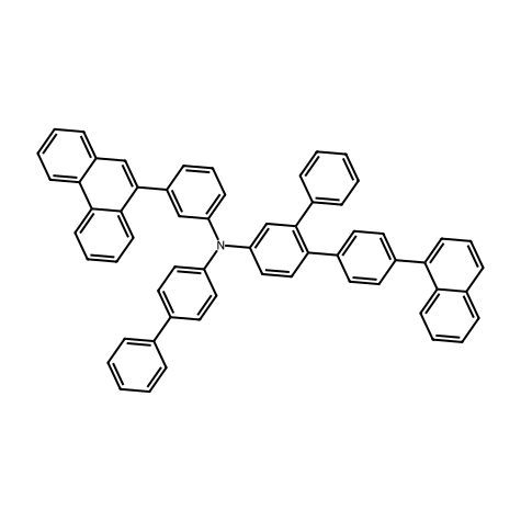 c1ccc(-c2ccc(N(c3cccc(-c4cc5ccccc5c5ccccc45)c3)c3ccc(-c4ccc(-c5cccc6ccccc56)cc4)c(-c4ccccc4)c3)cc2)cc1